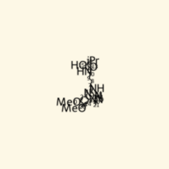 COc1cc2nc(NCCCCNC(=O)[C@@H](O)C(C)C)c3nnc(C)n3c2cc1OC